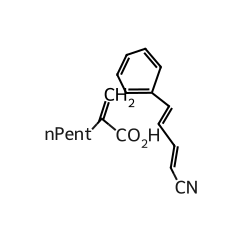 C=C(CCCCC)C(=O)O.N#CC=CC=Cc1ccccc1